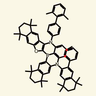 Cc1cc2c3c(c1)N(c1ccc(-c4c(C)cccc4C)cc1)c1c(oc4cc5c(cc14)C(C)(C)CCC5(C)C)B3c1cc3c(cc1N2c1cc2c(cc1-c1ccccc1)C(C)(C)CCC2(C)C)C(C)(C)CCC3(C)C